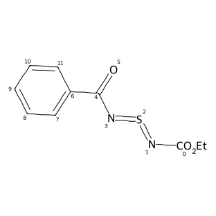 CCOC(=O)N=S=NC(=O)c1ccccc1